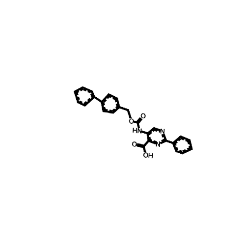 O=C(Nc1cnc(-c2ccccc2)nc1C(=O)O)OCc1ccc(-c2ccccc2)cc1